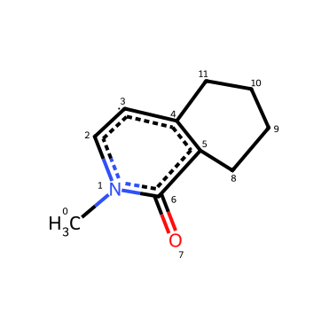 Cn1c[c]c2c(c1=O)CCCC2